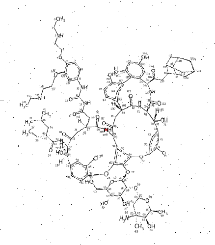 CCNCCOc1ccc(NC(=O)NC(=O)C[C@@H]2CC(=O)[C@H](NC(=O)[C@H](CC)CC(C)C)[C@H](O)c3ccc(c(Cl)c3)Oc3cc4cc(c3O[C@@H]3O[C@H](CO)[C@@H](O)[C@H](O)[C@H]3O[C@H]3C[C@](C)(N)[C@H](O)[C@H](C)O3)Oc3ccc(cc3Cl)[C@@H](O)[C@@H]3NC(=O)[C@H](CC(=O)[C@@H]4NC2=O)c2ccc(O)c(c2)-c2c(O)cc(O)cc2[C@@H](C(=O)CC2C4CC5CC(C4)CC2C5)NC3=O)cc1OCCNCC